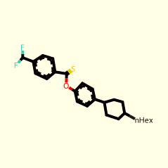 CCCCCCC1CCC(c2ccc(OC(=S)c3ccc(C(F)F)cc3)cc2)CC1